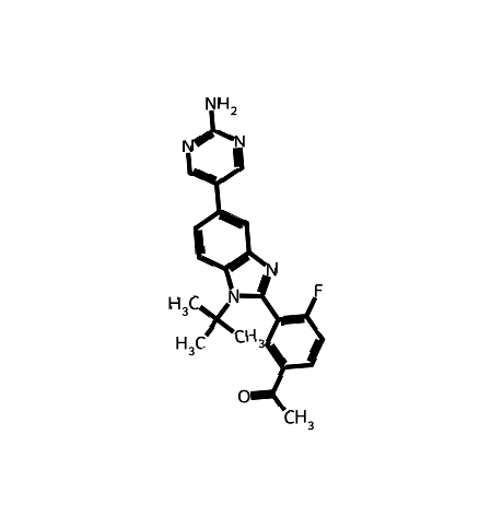 CC(=O)c1ccc(F)c(-c2nc3cc(-c4cnc(N)nc4)ccc3n2C(C)(C)C)c1